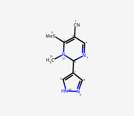 CSC1=C(C#N)C=NC(c2cn[nH]c2)N1C